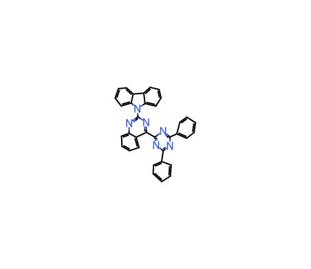 c1ccc(-c2nc(-c3ccccc3)nc(-c3nc(-n4c5ccccc5c5ccccc54)nc4ccccc34)n2)cc1